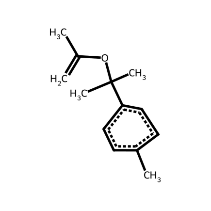 C=C(C)OC(C)(C)c1ccc(C)cc1